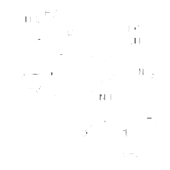 C=C(C)C(=O)NC(CC)C(CC(C)(C)N)[Si](OC)(OC)OC.Cl